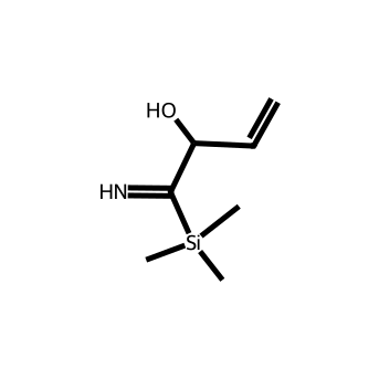 C=CC(O)C(=N)[Si](C)(C)C